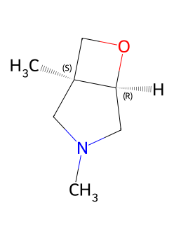 CN1C[C@@H]2OC[C@]2(C)C1